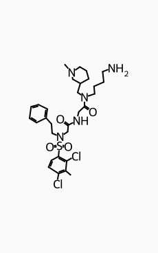 Cc1c(Cl)ccc(S(=O)(=O)N(CCc2ccccc2)CC(=O)NCC(=O)N(CCCCN)CC2CCCN(C)C2)c1Cl